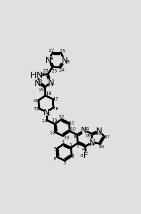 Fc1c(-c2ccccc2)c(-c2ccc(CN3CCC(c4n[nH]c(-c5cnccn5)n4)CC3)cc2)nc2nccn12